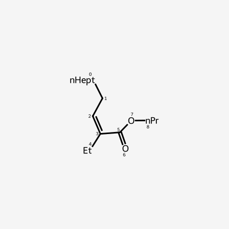 CCCCCCCCC=C(CC)C(=O)OCCC